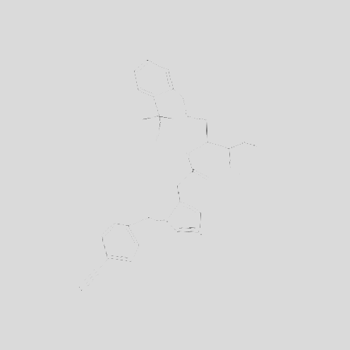 CCC(C)C(CNCc1ccccc1C(F)(F)F)NC(=O)Cc1cncn1Cc1ccc(C#N)cc1